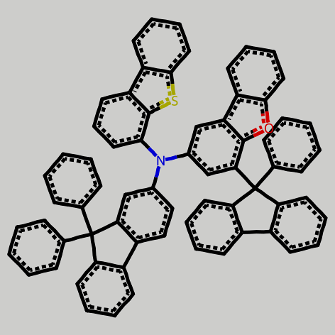 c1ccc(C2(c3ccccc3)c3ccccc3-c3ccc(N(c4cc(C5(c6ccccc6)c6ccccc6-c6ccccc65)c5oc6ccccc6c5c4)c4cccc5c4sc4ccccc45)cc32)cc1